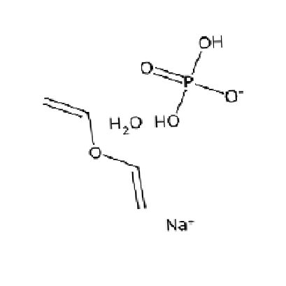 C=COC=C.O.O=P([O-])(O)O.[Na+]